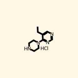 CCc1cncnc1N1CCNCC1.Cl